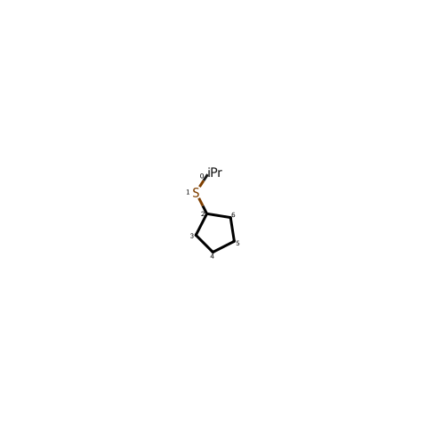 [CH2]C(C)SC1CCCC1